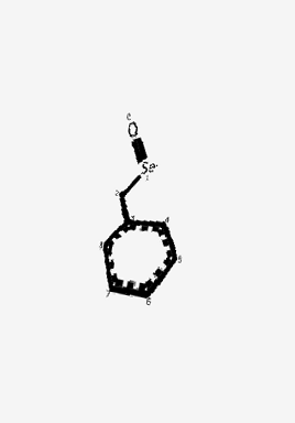 O=[Se]Cc1ccccc1